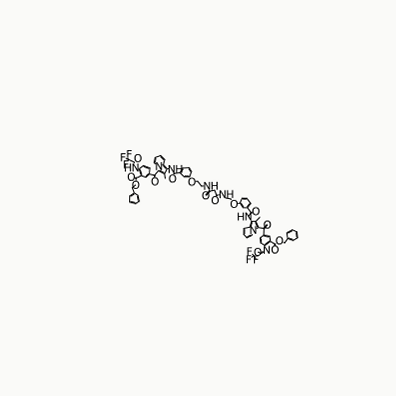 Cc1c(NC(=O)c2cccc(OCCNC(=O)CC(=O)NCCOc3cccc(C(=O)Nc4c(C)c(C(=O)c5ccc(NC(=O)C(F)(F)F)c(C(=O)OCc6ccccc6)c5)n5ccccc45)c3)c2)c2ccccn2c1C(=O)c1ccc(/N=C\OC(F)(F)F)c(C(=O)OCc2ccccc2)c1